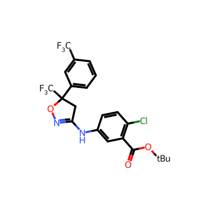 CC(C)(C)OC(=O)c1cc(NC2=NOC(c3cccc(C(F)(F)F)c3)(C(F)(F)F)C2)ccc1Cl